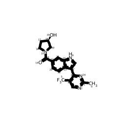 Cc1ncc(C(F)(F)F)c(-c2c[nH]c3cc(C(=O)N4CC[C@@H](O)C4)ccc23)n1